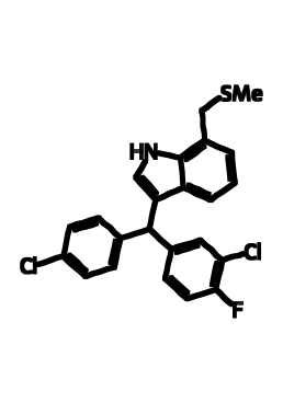 CSCc1cccc2c(C(c3ccc(Cl)cc3)c3ccc(F)c(Cl)c3)c[nH]c12